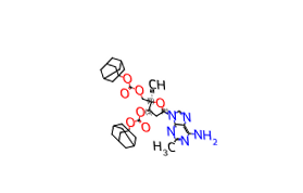 C#C[C@]1(COC(=O)OC23CC4CC(CC(C4)C2)C3)O[C@@H](n2cnc3c(N)nc(C)nc32)C[C@@H]1OC(=O)OC12CC3CC(CC(C3)C1)C2